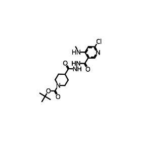 CNc1cc(Cl)ncc1C(=O)NNC(=O)C1CCN(C(=O)OC(C)(C)C)CC1